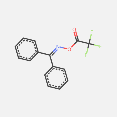 O=C(ON=C(c1ccccc1)c1ccccc1)C(F)(F)F